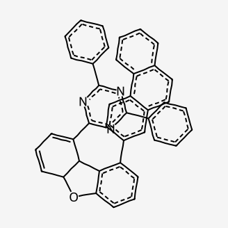 C1=CC2Oc3cccc(-c4ccc5c(ccc6ccccc65)c4)c3C2C(c2nc(-c3ccccc3)nc(-c3ccccc3)n2)=C1